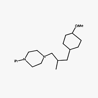 COC1CCC(CC(C)CN2CCN(C(C)C)CC2)CC1